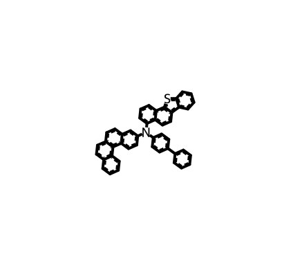 c1ccc(-c2ccc(N(c3ccc4c(ccc5ccc6ccccc6c54)c3)c3cccc4c3ccc3c5ccccc5sc43)cc2)cc1